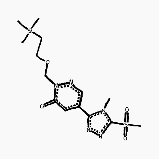 Cn1c(-c2cnn(COCC[Si](C)(C)C)c(=O)c2)nnc1S(C)(=O)=O